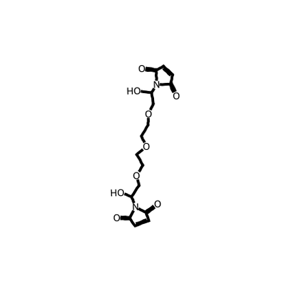 O=C1C=CC(=O)N1C(O)COCCOCCOCC(O)N1C(=O)C=CC1=O